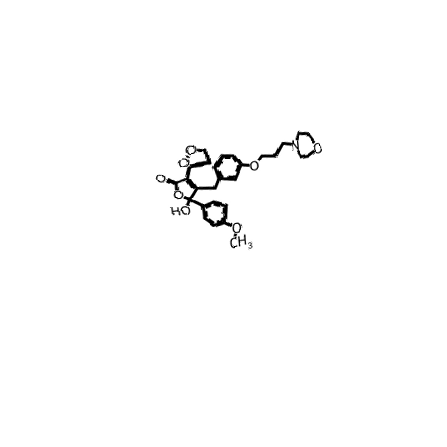 COc1ccc(C2(O)OC(=O)C(C3=CCOO3)=C2Cc2cccc(OCCCN3CCOCC3)c2)cc1